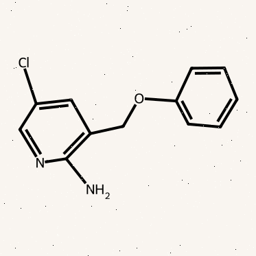 Nc1ncc(Cl)cc1COc1ccccc1